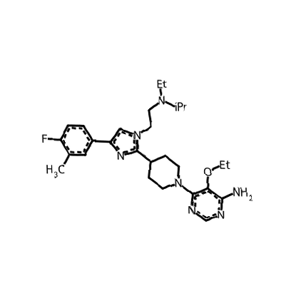 CCOc1c(N)ncnc1N1CCC(c2nc(-c3ccc(F)c(C)c3)cn2CCN(CC)C(C)C)CC1